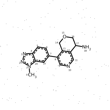 Cn1nnc2ccc(-c3cncc4c3COCC4N)cc21